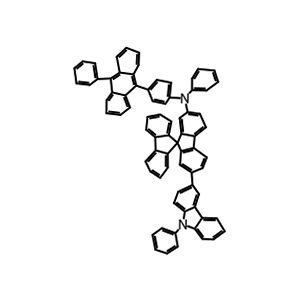 c1ccc(-c2c3ccccc3c(-c3ccc(N(c4ccccc4)c4ccc5c(c4)C4(c6ccccc6-c6ccccc64)c4cc(-c6ccc7c(c6)c6ccccc6n7-c6ccccc6)ccc4-5)cc3)c3ccccc23)cc1